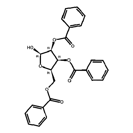 O=C(OC[C@H]1O[C@@H](O)[C@@H](OC(=O)c2ccccc2)[C@H]1OC(=O)c1ccccc1)c1ccccc1